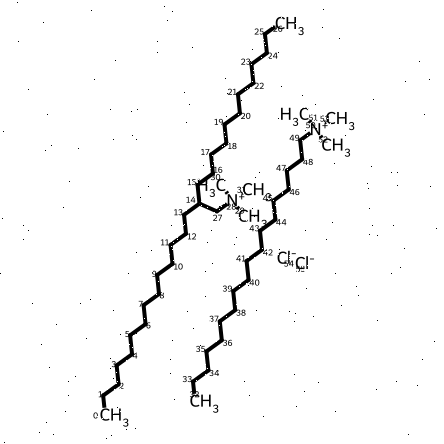 CCCCCCCCCCCCCCC(CCCCCCCCCCCC)C[N+](C)(C)C.CCCCCCCCCCCCCCCCCC[N+](C)(C)C.[Cl-].[Cl-]